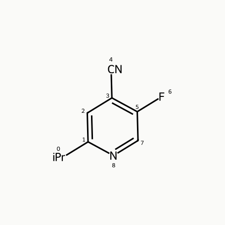 CC(C)c1cc(C#N)c(F)cn1